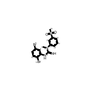 CN(C(=N)Nc1cc(Br)ccc1Br)c1cccc(S(C)(=O)=O)c1